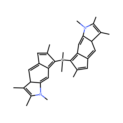 CC1=CC2=CC3C(=CC2=C1[Si](C)(C)C1=C2C=C4C(C=C2C=C1C)C(C)=C(C)N4C)N(C)C(C)=C3C